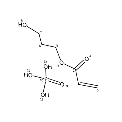 C=CC(=O)OCCCO.O=P(O)(O)O